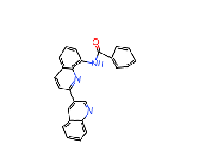 O=C(Nc1cccc2ccc(-c3cnc4ccccc4c3)nc12)c1ccccc1